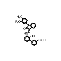 Cc1ccc(N2C(=O)C(=NNc3cccc(-c4cccc(C(=O)O)c4)c3O)c3ccccc32)cc1C(F)(F)F